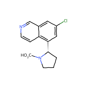 O=C(O)N1CCC[C@H]1c1cc(Cl)cc2cnccc12